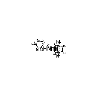 Cc1ccc(CN[C@H]2C[C@H]3CC[C@@H](C2)N3)cc1